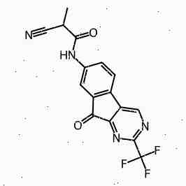 CC(C#N)C(=O)Nc1ccc2c(c1)C(=O)c1nc(C(F)(F)F)ncc1-2